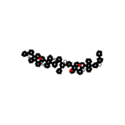 C1=Cc2c(sc3cccc(-c4c5ccccc5c(-c5ccc6c(c5)C5C=C(c7ccccc7)C=C(c7cccc8sc9c(-c%10c%11ccccc%11c(-c%11cccc%12c%11sc%11cccc(-c%13c%14ccccc%14c(-c%14cccc%15c%14sc%14ccccc%14%15)c%14ccccc%13%14)c%11%12)c%11ccccc%10%11)cccc9c78)C5O6)c5ccccc45)c23)C(c2c3ccccc3c(-c3ccc4oc5ccc(-c6ccccc6)cc5c4c3)c3ccccc23)C1